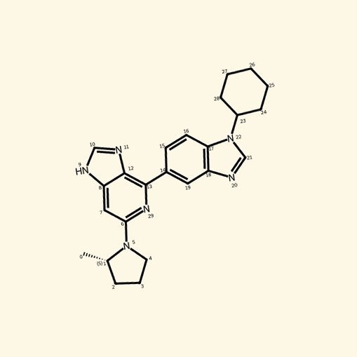 C[C@H]1CCCN1c1cc2[nH]cnc2c(-c2ccc3c(c2)ncn3C2CCCCC2)n1